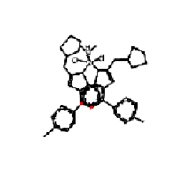 Cc1ccc(-c2cccc3c2C=C(CC2CCCC2)[CH]3[Zr]([Cl])([Cl])([CH]2C(CC3CCCC3)=Cc3c(-c4ccc(C)cc4)cccc32)[SiH](C)C)cc1